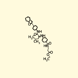 CCOC(=O)CCNC(=O)c1ccc(N[C@@H](CC(C)C)C(=O)Nc2ccc(-c3cc4ccccc4o3)cc2)cc1